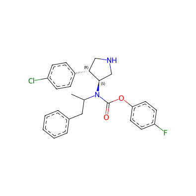 CC(Cc1ccccc1)N(C(=O)Oc1ccc(F)cc1)[C@@H]1CNC[C@H]1c1ccc(Cl)cc1